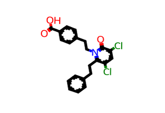 O=C(O)c1ccc(CCn2c(CCc3ccccc3)c(Cl)cc(Cl)c2=O)cc1